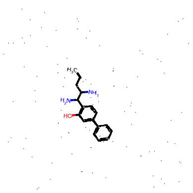 CCCC(N)C(N)c1ccc(-c2ccccc2)cc1O